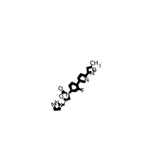 [CH2][C@H]1CC(c2ccc(-c3ccc(N4C[C@H](Cn5ccnn5)OC4=O)cc3F)cn2)=NO1